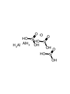 O=[Si](O)O.O=[Si](O)O.O=[Si](O)O.[AlH3].[AlH3].[O]